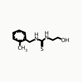 Cc1ccccc1CNC(=S)NCCO